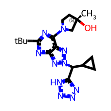 CC(C)(C)c1nc(N2CC[C@](C)(O)C2)c2nn(C(c3nnn[nH]3)C3CC3)nc2n1